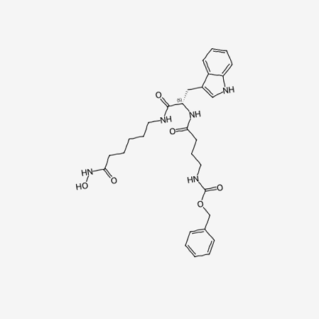 O=C(CCCCCNC(=O)[C@H](Cc1c[nH]c2ccccc12)NC(=O)CCCNC(=O)OCc1ccccc1)NO